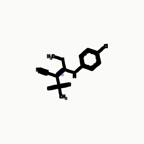 CS/C(Nc1ccc(Cl)cc1)=C(\C#N)S(C)(=O)=O